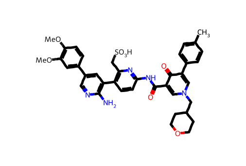 COc1ccc(-c2cnc(N)c(-c3ccc(NC(=O)c4cn(CC5CCOCC5)cc(-c5ccc(C)cc5)c4=O)nc3CS(=O)(=O)O)c2)cc1OC